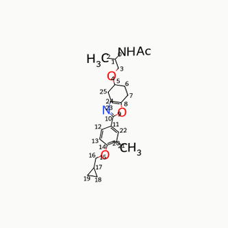 CC(=O)NC(C)COC1CCc2oc(-c3ccc(OCC4CC4)c(C)c3)nc2C1